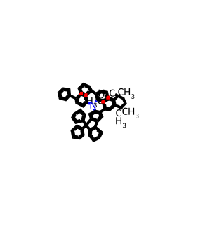 Cc1cc2c(cc1-c1cc3c(cc1N(c1ccc(-c4ccccc4)cc1)c1ccccc1-c1ccccc1)C(c1ccccc1)(c1ccccc1)c1ccccc1-3)C(C)(C)CCC2(C)C